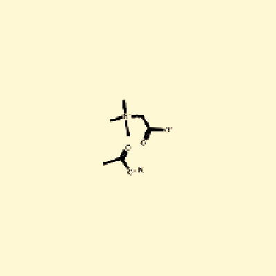 CC(=O)[O-].C[N+](C)(C)CC(=O)[O-].[K+]